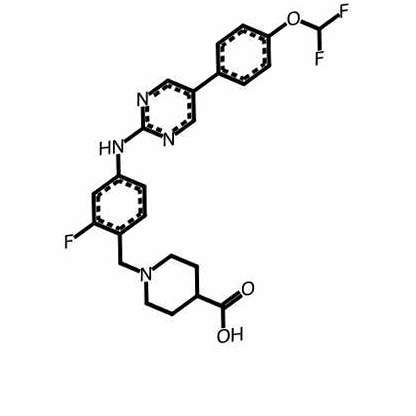 O=C(O)C1CCN(Cc2ccc(Nc3ncc(-c4ccc(OC(F)F)cc4)cn3)cc2F)CC1